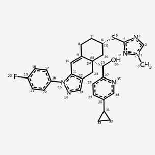 Cn1cnc(S[C@H]2CCC3=Cc4c(cnn4-c4ccc(F)cc4)C[C@]3(C(O)c3ccc(C4CC4)cn3)C2)n1